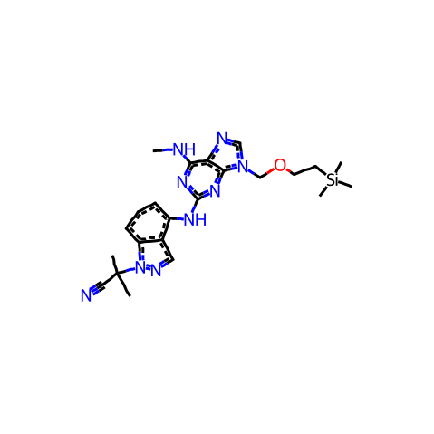 CNc1nc(Nc2cccc3c2cnn3C(C)(C)C#N)nc2c1ncn2COCC[Si](C)(C)C